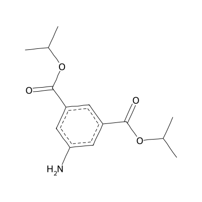 CC(C)OC(=O)c1cc(N)cc(C(=O)OC(C)C)c1